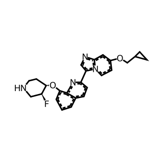 F[C@H]1CNCC[C@@H]1Oc1cccc2ccc(-c3cnc4cc(OCC5CC5)ccn34)nc12